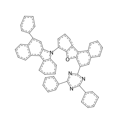 c1ccc(-c2nc(-c3ccccc3)nc(-c3cc4ccccc4c4c3oc3c(-n5c6ccccc6c6c7ccccc7c(-c7ccccc7)cc65)cccc34)n2)cc1